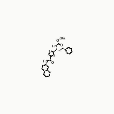 CC(C)(C)OC(=O)N[C@H](CCc1ccccc1)c1nc(C(=O)Nc2ccc3ccccc3c2)co1